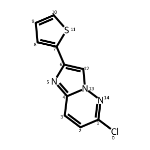 Clc1ccc2nc(-c3cccs3)cn2n1